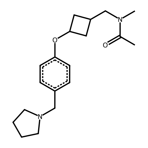 CC(=O)N(C)CC1CC(Oc2ccc(CN3CCCC3)cc2)C1